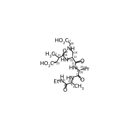 CCNC(=O)[C@H](C)NC(=O)[C@@H](NC(=O)[C@H](CNCC(=O)O)NC(=O)C(C)CC(=O)O)C(C)C